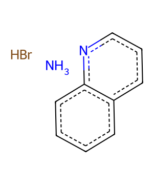 Br.N.c1ccc2ncccc2c1